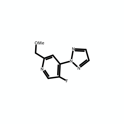 COCc1cc(-n2nccn2)c(F)cn1